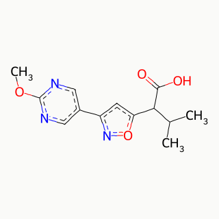 COc1ncc(-c2cc(C(C(=O)O)C(C)C)on2)cn1